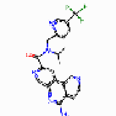 CC(C)N(Cc1ccc(C(F)(F)F)cn1)C(=O)c1cc2c(cn1)nc(N)c1ccncc12